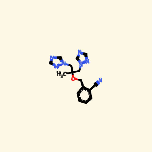 CC(Cn1cncn1)(Cn1cncn1)OCc1ccccc1C#N